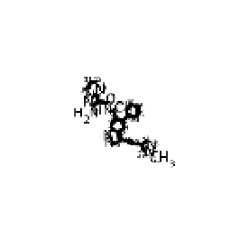 C[C@@H](NC(=O)c1c(N)nn2cccnc12)c1cc2nncc(C#Cc3cnn(C)c3)c2cc1-c1ccccc1